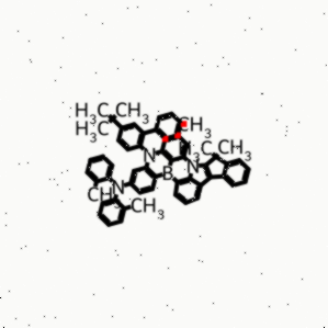 Cc1cc2c3c(c1)-n1c4c(c5cccc(c51)B3c1ccc(N(c3ccccc3C)c3ccccc3C)cc1N2c1ccc(C(C)(C)C)cc1-c1ccccc1)-c1ccccc1C4(C)C